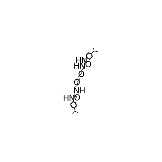 CC(C)c1ccc(NC(=O)CNCCOCCOCCNC(=O)Nc2ccc(C(C)C)cc2)cc1